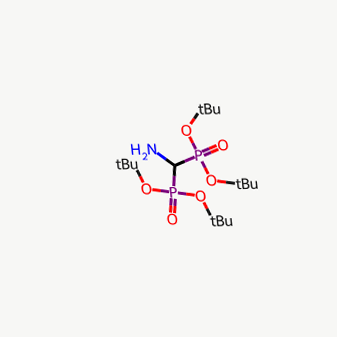 CC(C)(C)OP(=O)(OC(C)(C)C)C(N)P(=O)(OC(C)(C)C)OC(C)(C)C